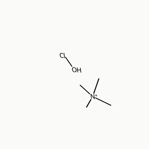 C[N+](C)(C)C.OCl